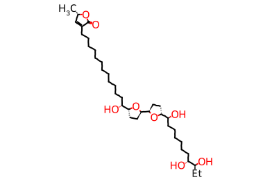 CC[C@H](O)[C@H](O)CCCCCC[C@H](O)[C@H]1CC[C@H]([C@H]2CC[C@H]([C@H](O)CCCCCCCCCCCCC3=C[C@H](C)OC3=O)O2)O1